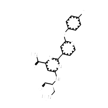 NC[C@@H](C=O)Nc1cc(C(N)=O)nc(-c2ccnc(Oc3ccc(F)cc3)c2)n1